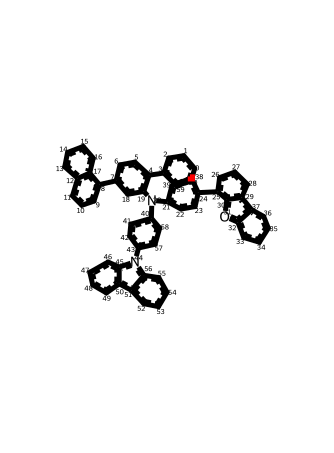 c1ccc(-c2ccc(-c3cccc4ccccc34)cc2N(c2ccc(-c3cccc4c3oc3ccccc34)cc2)c2ccc(-n3c4ccccc4c4ccccc43)cc2)cc1